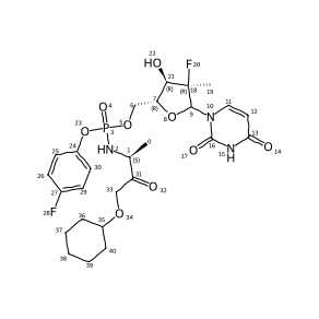 C[C@H](NP(=O)(OC[C@H]1OC(n2ccc(=O)[nH]c2=O)[C@](C)(F)[C@@H]1O)Oc1ccc(F)cc1)C(=O)COC1CCCCC1